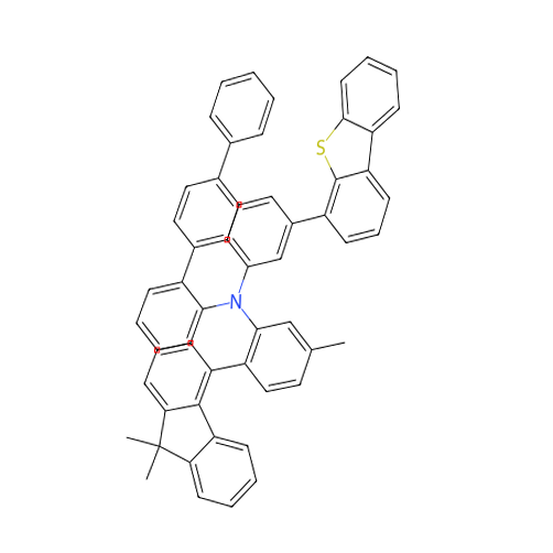 Cc1ccc(-c2cccc3c2-c2ccccc2C3(C)C)c(N(c2cccc(-c3cccc4c3sc3ccccc34)c2)c2ccccc2-c2ccc(-c3ccccc3)cc2)c1